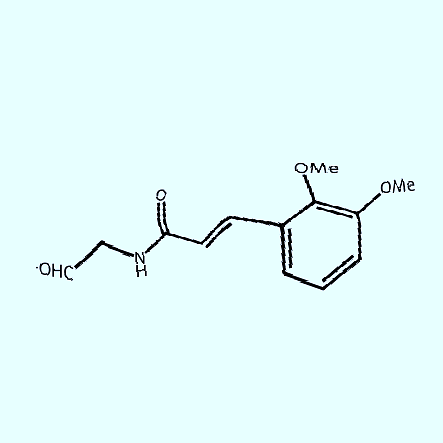 COc1cccc(/C=C/C(=O)NC[C]=O)c1OC